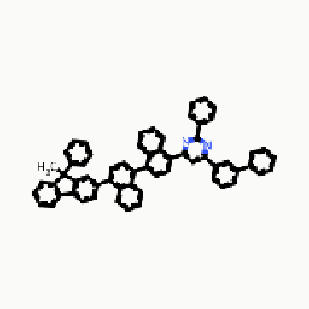 CC1(c2ccccc2)c2ccccc2-c2ccc(-c3ccc(-c4ccc(-c5cc(-c6cccc(-c7ccccc7)c6)nc(-c6ccccc6)n5)c5ccccc45)c4ccccc34)cc21